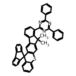 CC1(C)c2cc3c(cc2-c2cccc(-c4nc(-c5ccccc5)nc(-c5ccccc5)n4)c21)C1(c2ccccc2S3)c2ccccc2-c2ccccc21